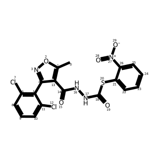 Cc1onc(-c2c(Cl)cccc2Cl)c1C(=O)NNC(=O)Sc1ccccc1[N+](=O)[O-]